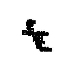 CCC(OC(=O)c1cc(OC)c2[nH]c(-c3cc4ccc(OC)nc4n3CC3CC3)nc2c1)C1CN(C(=O)OC(C)(C)C)C1